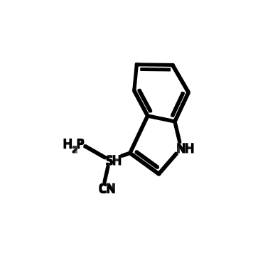 N#C[SH](P)c1c[nH]c2ccccc12